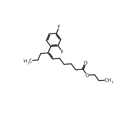 CCCOC(=O)CCCC/C=C(/CCC)c1ccc(F)cc1F